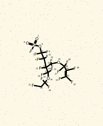 O=S(=O)(F)OC(F)(F)C(F)(F)C(F)(C(F)(F)OC(F)(F)CF)C(F)(F)OC(F)(F)C(F)=C(F)F